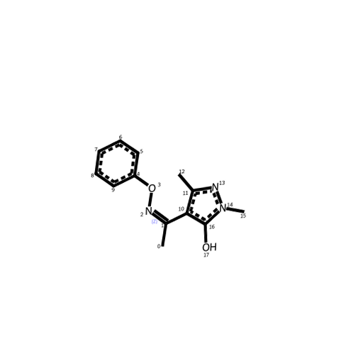 C/C(=N/Oc1ccccc1)c1c(C)nn(C)c1O